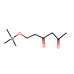 CC(=O)CC(=O)CCO[Si](C)(C)C